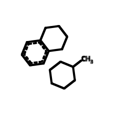 CC1CCCCC1.c1ccc2c(c1)CCCC2